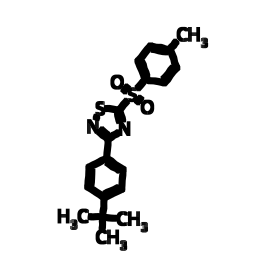 Cc1ccc(S(=O)(=O)c2nc(-c3ccc(C(C)(C)C)cc3)ns2)cc1